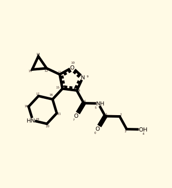 O=C(CCO)NC(=O)c1noc(C2CC2)c1C1CCNCC1